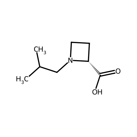 CC(C)CN1CC[C@@H]1C(=O)O